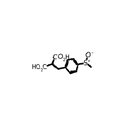 C[S+]([O-])c1ccc(CC(C(=O)O)C(=O)O)cc1